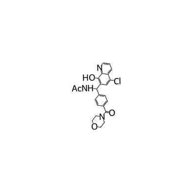 CC(=O)NC(c1ccc(C(=O)N2CCOCC2)cc1)c1cc(Cl)c2cccnc2c1O